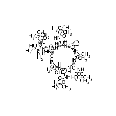 CC(C)C[C@@H]1NC(=O)[C@@H](Cc2ccccc2)NC(=O)[C@H](CCNC(=O)OC(C)(C)C)NC(=O)[C@@H](NC(=O)[C@H](CNC(=O)OC(C)(C)C)NC(=O)[C@@H](N)C(C)O)CCNC(=O)[C@H](C(C)O)NC(=O)[C@H](CCNC(=O)OC(C)(C)C)NC(=O)[C@H](CCNC(=O)OC(C)(C)C)NC1=O